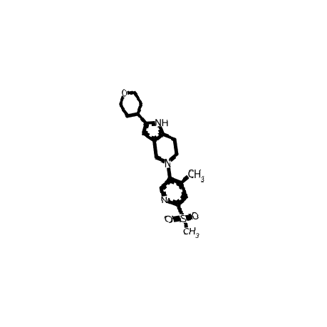 Cc1cc(S(C)(=O)=O)ncc1N1CCc2[nH]c(C3CCOCC3)cc2C1